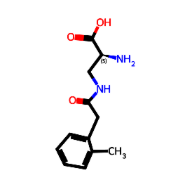 Cc1ccccc1CC(=O)NC[C@H](N)C(=O)O